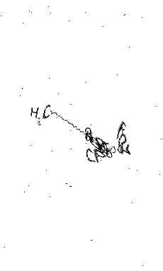 CCCCCCCCCCCCCCCCCC(=O)OCOC(=O)N(C(=O)[C@H](C)[C@H]1CC[C@@H](c2ccnc3ccc(F)cc32)CC1)c1ccc(Cl)cc1